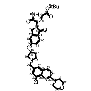 CC(C)(C)OC(=O)CC[C@@H](C(N)=O)N1Cc2cc(O[C@H]3CCN(Cc4cc(Cl)c5nc(N6CCOCC6)ncc5c4)C3)ccc2C1=O